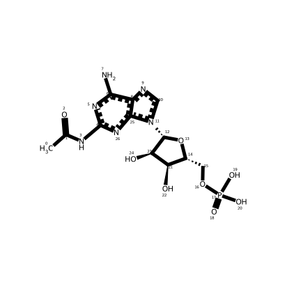 CC(=O)Nc1nc(N)c2ncn([C@@H]3O[C@H](COP(=O)(O)O)[C@@H](O)[C@H]3O)c2n1